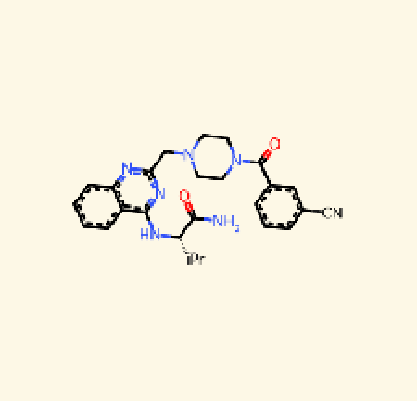 CC(C)[C@H](Nc1nc(CN2CCN(C(=O)c3cccc(C#N)c3)CC2)nc2ccccc12)C(N)=O